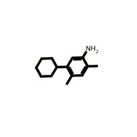 Cc1cc(C)c(C2CCCCC2)cc1N